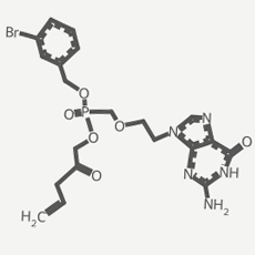 C=CCC(=O)COP(=O)(COCCn1cnc2c(=O)[nH]c(N)nc21)OCc1cccc(Br)c1